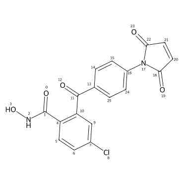 O=C(NO)c1ccc(Cl)cc1C(=O)c1ccc(N2C(=O)C=CC2=O)cc1